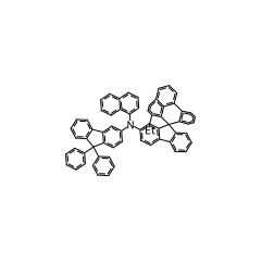 CCc1ccc2cccc3c2c1C1(c2ccccc2-c2ccc(N(c4ccc5c(c4)-c4ccccc4C5(c4ccccc4)c4ccccc4)c4cccc5ccccc45)cc21)c1ccccc1-3